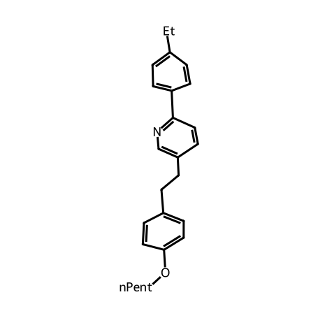 CCCCCOc1ccc(CCc2ccc(-c3ccc(CC)cc3)nc2)cc1